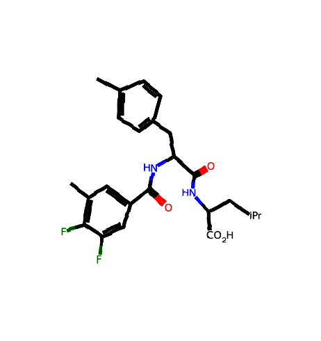 Cc1ccc(CC(NC(=O)c2cc(C)c(F)c(F)c2)C(=O)NC(CC(C)C)C(=O)O)cc1